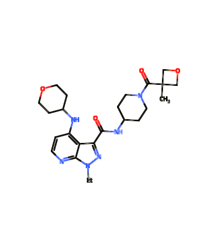 CCn1nc(C(=O)NC2CCN(C(=O)C3(C)COC3)CC2)c2c(NC3CCOCC3)ccnc21